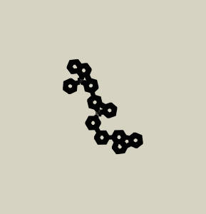 c1ccc(-n2c3cc(-c4ccc5c(c4)c4ccccc4n5-c4cccc(-c5cccc(-c6ccc7c8c(cccc68)-c6ccccc6-7)c5)c4)ccc3c3ccc4ccccc4c32)cc1